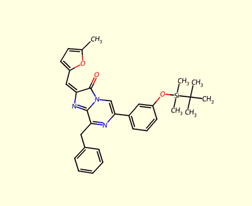 Cc1ccc(C=C2N=C3C(Cc4ccccc4)=NC(c4cccc(O[Si](C)(C)C(C)(C)C)c4)=CN3C2=O)o1